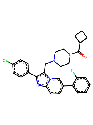 O=C(C1CCC1)N1CCN(Cc2c(-c3ccc(Cl)cc3)nc3ccc(-c4ccccc4F)cn23)CC1